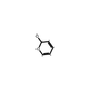 [O]C1C=CC=CO1